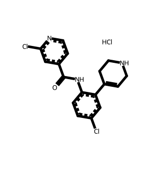 Cl.O=C(Nc1ccc(Cl)cc1C1=CCNCC1)c1ccnc(Cl)c1